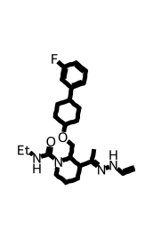 C=CN/N=C(\C)C1CCCN(C(=O)NCC)C1COC1CCC(c2cccc(F)c2)CC1